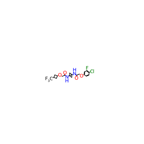 O=C(COc1ccc(Cl)c(F)c1)NC12CC1(NC(=O)COC1CC(C(F)(F)F)C1)C2